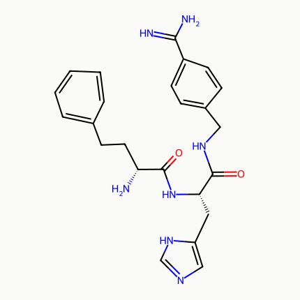 N=C(N)c1ccc(CNC(=O)[C@H](Cc2cnc[nH]2)NC(=O)[C@H](N)CCc2ccccc2)cc1